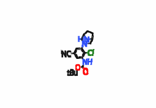 CC(C)(C)OC(=O)Nc1cc(C#N)cc(N2CC3CCC(C2)N3)c1Cl